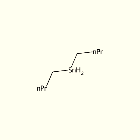 CCC[CH2][SnH2][CH2]CCC